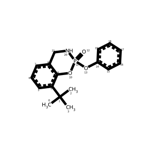 CC(C)(C)c1cccc2c1OP(=O)(Oc1ccccc1)NC2